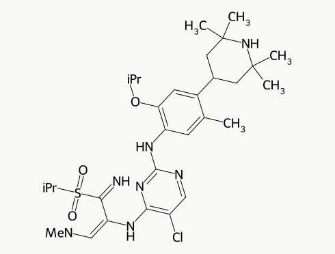 CN/C=C(/Nc1nc(Nc2cc(C)c(C3CC(C)(C)NC(C)(C)C3)cc2OC(C)C)ncc1Cl)C(=N)S(=O)(=O)C(C)C